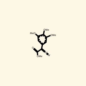 COC(=O)C(=[N+]=[N-])c1cc(OC)c(OC)c(OC)c1